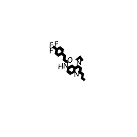 CCCc1cc(N2CCC2)c2cc(NC(=O)/C=C/c3ccc(C(F)(F)F)cc3)ccc2n1